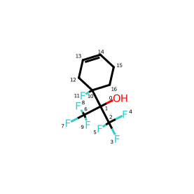 OC(C(F)(F)F)(C(F)(F)F)C1(F)CC=CCC1